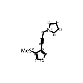 CSc1cscc1C#CCN1CCCC1